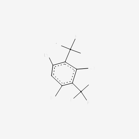 FC(F)(F)c1c(Br)cc(Br)c(C(F)(F)F)c1S